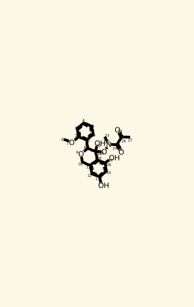 COc1ccccc1C1OCc2cc(O)cc(O)c2C1(O)ON(C)C(=O)C(C)=O